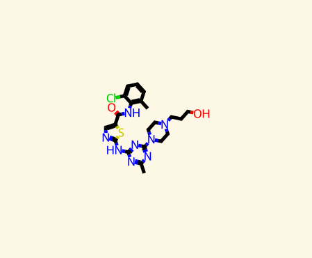 Cc1nc(Nc2ncc(C(=O)Nc3c(C)cccc3Cl)s2)nc(N2CCN(CCCO)CC2)n1